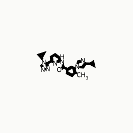 Cc1ccc(C(=O)Nc2cccc(-c3nncn3C3CC3)n2)cc1-n1cnc(C2CC2)c1